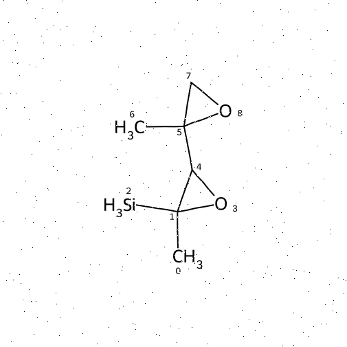 CC1([SiH3])OC1C1(C)CO1